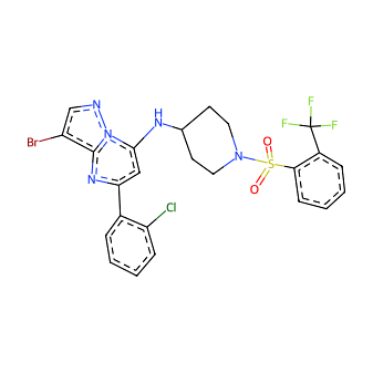 O=S(=O)(c1ccccc1C(F)(F)F)N1CCC(Nc2cc(-c3ccccc3Cl)nc3c(Br)cnn23)CC1